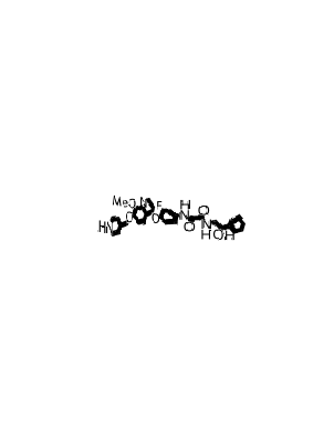 COc1c(OCC2CCNCC2)ccc2c(Oc3ccc(NC(=O)C(=O)NCC(O)c4ccccc4)cc3F)ccnc12